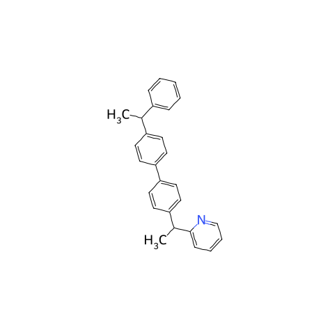 CC(c1ccccc1)c1ccc(-c2ccc(C(C)c3ccccn3)cc2)cc1